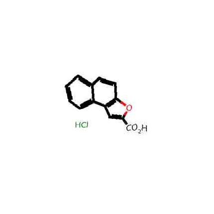 Cl.O=C(O)c1cc2c(ccc3ccccc32)o1